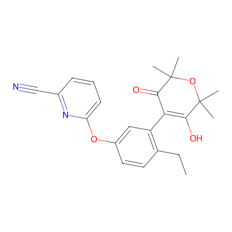 CCc1ccc(Oc2cccc(C#N)n2)cc1C1=C(O)C(C)(C)OC(C)(C)C1=O